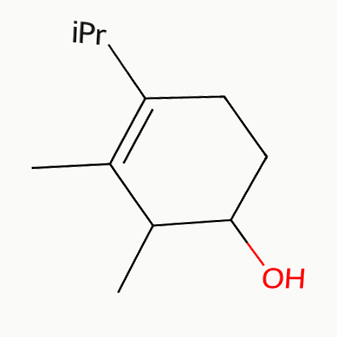 CC1=C(C(C)C)CCC(O)C1C